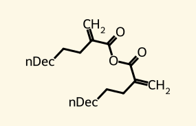 C=C(CCCCCCCCCCCC)C(=O)OC(=O)C(=C)CCCCCCCCCCCC